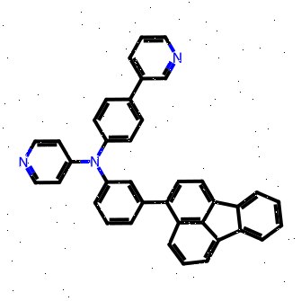 c1cncc(-c2ccc(N(c3ccncc3)c3cccc(-c4ccc5c6c(cccc46)-c4ccccc4-5)c3)cc2)c1